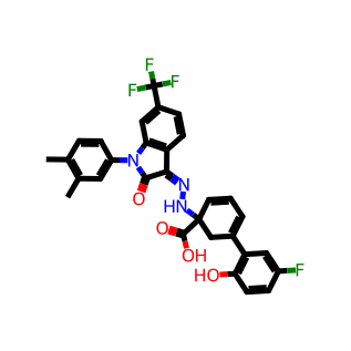 Cc1ccc(N2C(=O)C(=NNC3(C(=O)O)C=CC=C(c4cc(F)ccc4O)C3)c3ccc(C(F)(F)F)cc32)cc1C